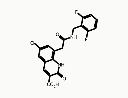 O=C(Cc1cc(Cl)cc2cc(C(=O)O)c(=O)[nH]c12)NCc1c(F)cccc1F